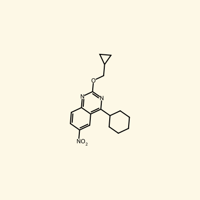 O=[N+]([O-])c1ccc2nc(OCC3CC3)nc(C3CCCCC3)c2c1